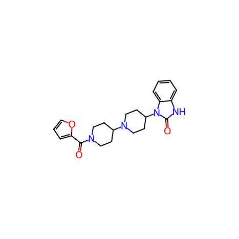 O=C(c1ccco1)N1CCC(N2CCC(n3c(=O)[nH]c4ccccc43)CC2)CC1